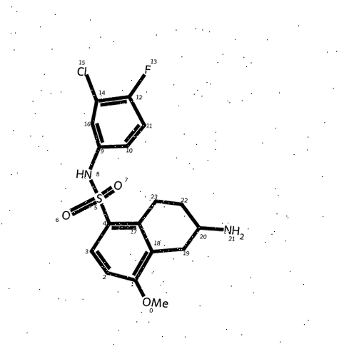 COc1ccc(S(=O)(=O)Nc2ccc(F)c(Cl)c2)c2c1CC(N)CC2